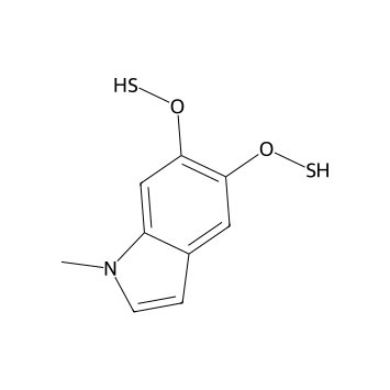 Cn1ccc2cc(OS)c(OS)cc21